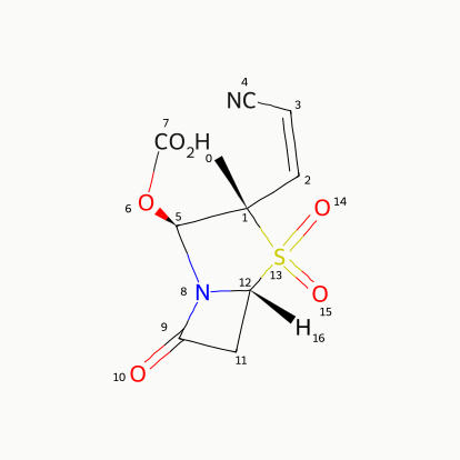 C[C@]1(/C=C\C#N)[C@H](OC(=O)O)N2C(=O)C[C@H]2S1(=O)=O